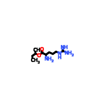 CCC(C)OC(=O)C(N)CCCNC(=N)N